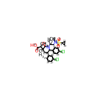 CC[C@@H](CN(C)S(=O)(=O)C1CC1)N1C(=O)[C@@](C)(C(C)C(=O)O)C[C@H](c2cccc(Cl)c2)C1c1ccc(Cl)cc1